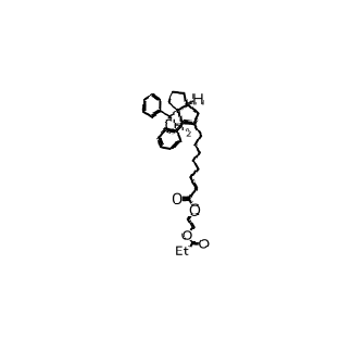 C=C(c1ccccc1)[C@@]12CCC[C@@H]1CC(CCCCCCCC(=O)OCCOC(=O)CC)=C2c1ccccc1